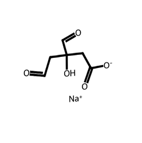 O=CCC(O)(C=O)CC(=O)[O-].[Na+]